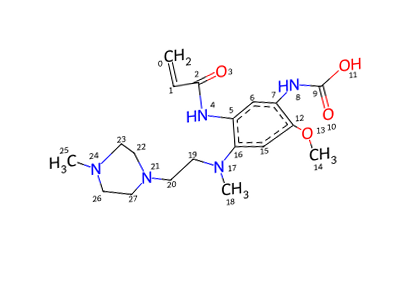 C=CC(=O)Nc1cc(NC(=O)O)c(OC)cc1N(C)CCN1CCN(C)CC1